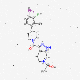 CCc1c(C2CCN(C(=O)c3n[nH]c4c3CCN(C(=O)C(C)C)C4)CC2)ccc(P)c1F